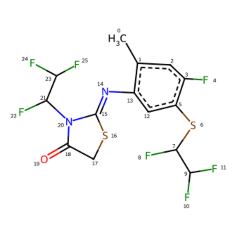 Cc1cc(F)c(SC(F)C(F)F)cc1/N=C1\SCC(=O)N1C(F)C(F)F